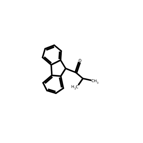 CC(C)C(=O)C1c2ccccc2-c2ccccc21